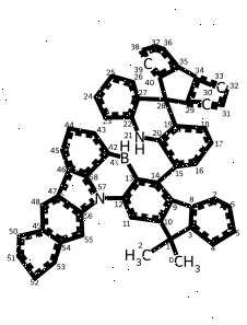 CC1(C)c2ccccc2-c2c1cc1c(c2-c2cccc3c2Nc2ccccc2C32c3ccccc3-c3ccccc32)Bc2cccc3c4cc5ccccc5cc4n-1c23